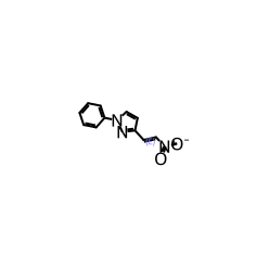 O=[N+]([O-])/C=C/c1ccn(-c2ccccc2)n1